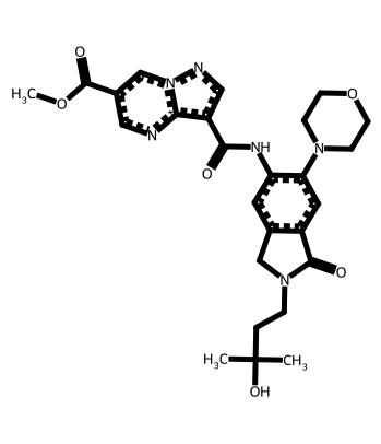 COC(=O)c1cnc2c(C(=O)Nc3cc4c(cc3N3CCOCC3)C(=O)N(CCC(C)(C)O)C4)cnn2c1